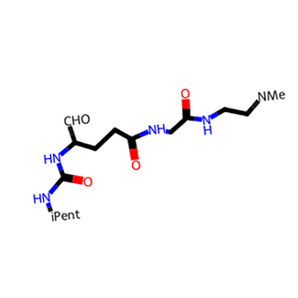 CCCC(C)NC(=O)NC(C=O)CCC(=O)NCC(=O)NCCNC